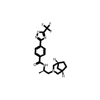 C[C@H](CN1C[C@@H]2CC[C@@H](C2)C1)NC(=O)c1ccc(-c2noc(C(F)(F)F)n2)cc1